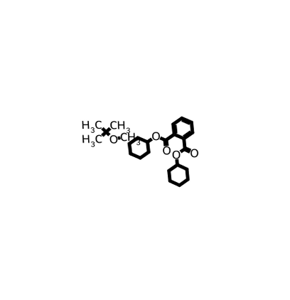 COC(C)(C)C.O=C(OC1CCCCC1)c1ccccc1C(=O)OC1CCCCC1